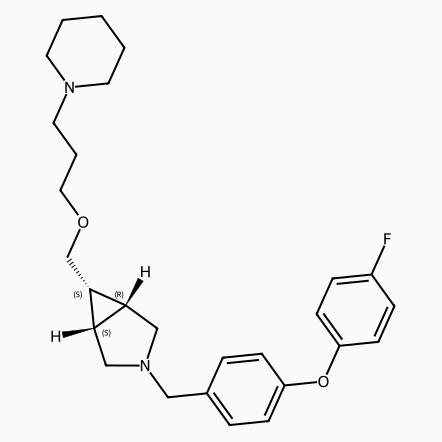 Fc1ccc(Oc2ccc(CN3C[C@@H]4[C@H](COCCCN5CCCCC5)[C@@H]4C3)cc2)cc1